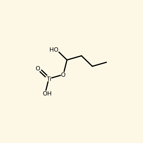 CCCC(O)[O][Ti](=[O])[OH]